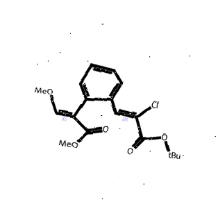 CO/C=C(/C(=O)OC)c1ccccc1/C=C(\Cl)C(=O)OC(C)(C)C